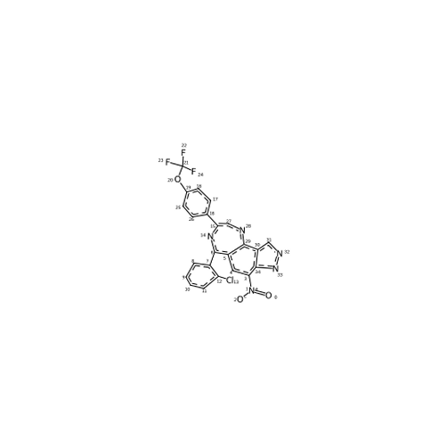 O=[N+]([O-])c1cc2c(-c3ccccc3Cl)nc(-c3ccc(OC(F)(F)F)cc3)cnc2c2cnnc12